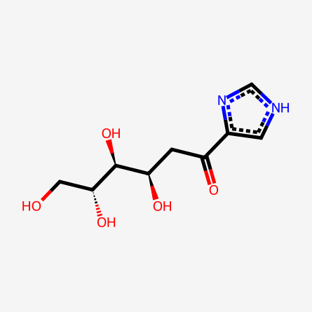 O=C(C[C@@H](O)[C@H](O)[C@H](O)CO)c1c[nH]cn1